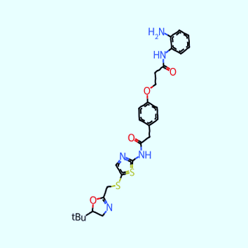 CC(C)(C)C1CN=C(CSc2cnc(NC(=O)Cc3ccc(OCCC(=O)Nc4ccccc4N)cc3)s2)O1